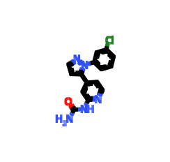 NC(=O)Nc1cc(-c2ccnn2-c2cccc(Cl)c2)ccn1